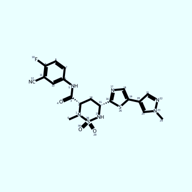 CN1[C@H](C(=O)Nc2ccc(F)c(C#N)c2)C[C@H](c2ncc(-c3cnn(C)c3)s2)NS1(=O)=O